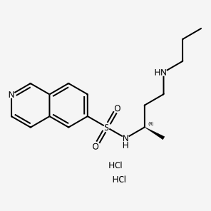 CCCNCC[C@@H](C)NS(=O)(=O)c1ccc2cnccc2c1.Cl.Cl